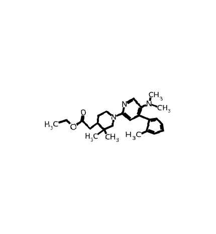 CCOC(=O)CC1CCN(c2cc(-c3ccccc3C)c(N(C)C)cn2)CC1(C)C